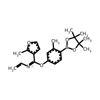 C=C/N=C(/Oc1ccc(B2OC(C)(C)C(C)(C)O2)c(C)c1)c1ccoc1C